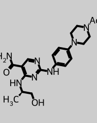 CC(=O)N1CCN(c2ccc(Nc3ncc(C(N)=O)c(N[C@H](C)CO)n3)cc2)CC1